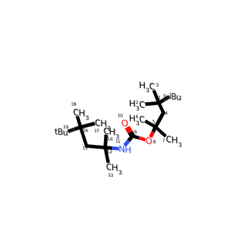 CCC(C)C(C)(C)CC(C)(C)OC(=O)NC(C)(C)CC(C)(C)C(C)(C)C